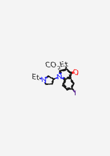 CCOC(=O)c1cn(C2CCN(CC)C2)c2ccc(I)cc2c1=O